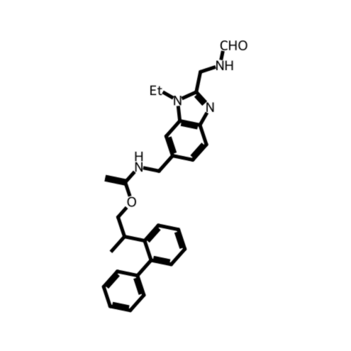 C=C(NCc1ccc2nc(CNC=O)n(CC)c2c1)OCC(C)c1ccccc1-c1ccccc1